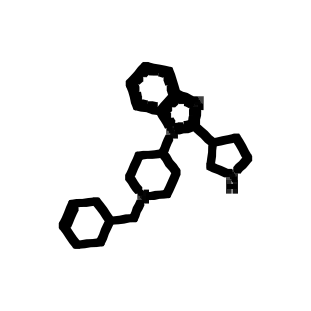 C1=CCC(CN2CCC(n3c(C4CCNC4)nc4ccccc43)CC2)CC1